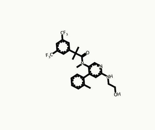 Cc1ccccc1-c1cc(NCCO)ncc1N(C)C(=O)C(C)(C)c1cc(C(F)(F)F)cc(C(F)(F)F)c1